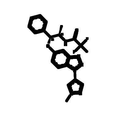 C[C@H](NC(=O)C(C)(F)F)[C@H](Oc1ccc2c(c1)nnn2-c1cnn(C)c1)c1ccccc1